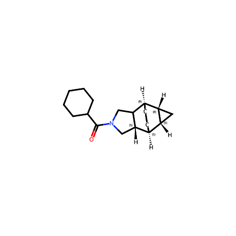 O=C(C1CCCCC1)N1CC2[C@@H](C1)[C@H]1CC[C@@H]2[C@@H]2C[C@@H]21